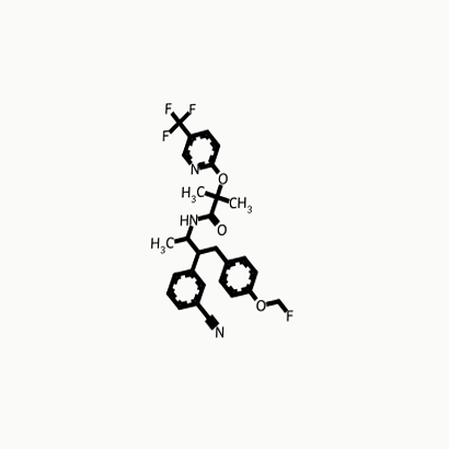 CC(NC(=O)C(C)(C)Oc1ccc(C(F)(F)F)cn1)C(Cc1ccc(OCF)cc1)c1cccc(C#N)c1